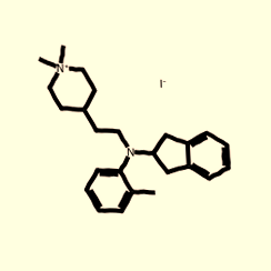 Cc1ccccc1N(CCC1CC[N+](C)(C)CC1)C1Cc2ccccc2C1.[I-]